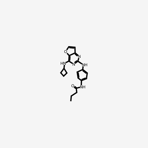 CCCC(=O)Nc1ccc(Nc2nc(NC3CCC3)c3occc3n2)cc1